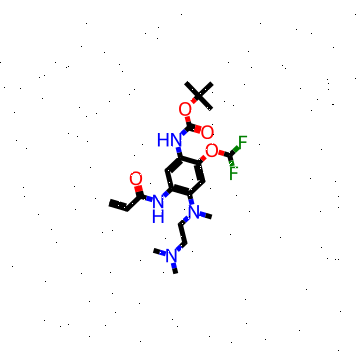 C=CC(=O)Nc1cc(NC(=O)OC(C)(C)C)c(OC(F)F)cc1N(C)CCN(C)C